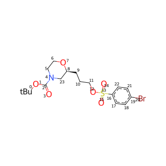 CC(C)(C)OC(=O)N1CCO[C@@H](CCCOS(=O)(=O)c2ccc(Br)cc2)C1